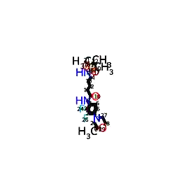 C[C@@H]1CN(c2ccc(NC(=O)CCCCNS(=O)(=O)C(C)(C)C)c(F)c2F)CCO1